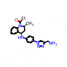 CCC(=O)N1c2ccccc2[C@H](Nc2ccc(-n3cc(CN)nn3)cc2)C[C@@H]1C